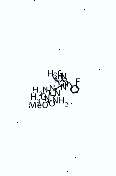 C/C=C1/C(c2nc(N)c(N(C)C(=O)OC)c(N)n2)=NN(Cc2ccccc2F)/C1=N/C